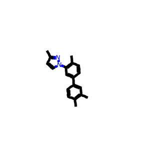 Cc1ccn(-c2cc(-c3ccc(C)c(C)c3)ccc2C)n1